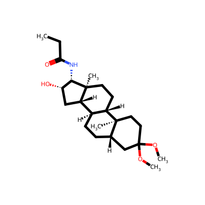 CCC(=O)N[C@H]1[C@@H](O)C[C@H]2[C@@H]3CC[C@H]4CC(OC)(OC)CC[C@]4(C)[C@H]3CC[C@@]21C